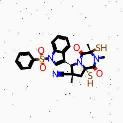 CN1C(=O)[C@@]2(S)C[C@](C)(C#N)[C@H](c3cn(S(=O)(=O)c4ccccc4)c4ccccc34)N2C(=O)[C@]1(C)S